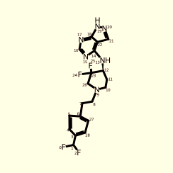 FC(F)c1ccc(CCN2CC[C@H](Nc3ncnc4[nH]ncc34)C(F)(F)C2)cc1